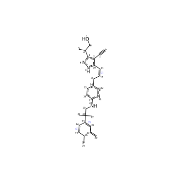 C#Cc1c(C(C)CO)n[nH]c1/C=C\Cc1ccc(NCC(C)(C)C(/C=C\CF)=C/C=C)nn1